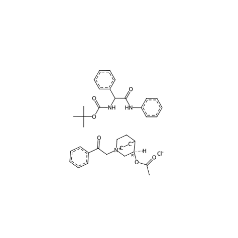 CC(=O)O[C@H]1C[N+]2(CC(=O)c3ccccc3)CCC1CC2.CC(C)(C)OC(=O)NC(C(=O)Nc1ccccc1)c1ccccc1.[Cl-]